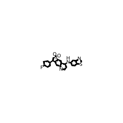 O=S1(=O)C=C(c2ccc(F)cc2)c2cc3nccc(Nc4ccc5scnc5c4)c3cc21